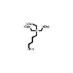 CCCCCCCCCCCCCC[N+](CCCCCCCCCCC)(CCCCCCCCCCC)CCCCCCCCCCC